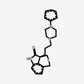 O=C1Nc2cccc3c2C1(CCCN1CCN(c2ccccc2)CC1)CCC3